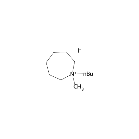 CCCC[N+]1(C)CCCCCC1.[I-]